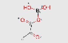 CC(=O)C(=O)OB(O)O